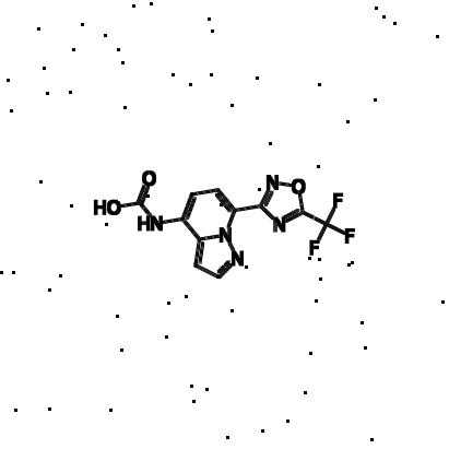 O=C(O)Nc1ccc(-c2noc(C(F)(F)F)n2)n2nccc12